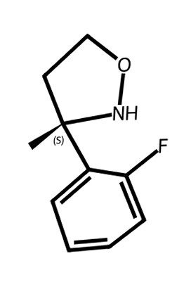 C[C@@]1(c2ccccc2F)CCON1